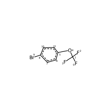 FC(F)(F)Oc1[c]cc(Br)cc1